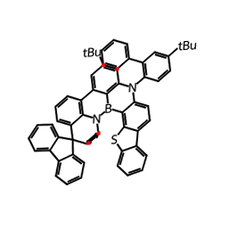 CC(C)(C)c1ccc(N2c3cc(C(C)(C)C)cc4c3B(c3c2ccc2c3sc3ccccc32)N2c3ccccc3C3(c5ccccc5-c5ccccc53)c3cccc-4c32)c(-c2ccccc2)c1